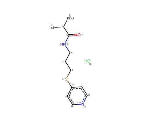 CCCCC(CC)C(=O)NCCCSc1ccncc1.Cl